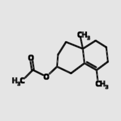 CC(=O)OC1CCC2(C)CCCC(C)=C2C1